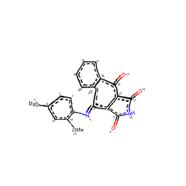 COc1ccc(/N=c2/c3c(=O)[nH]c(=O)c=3c(=O)c3ccccc23)c(OC)c1